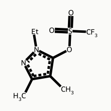 CCn1nc(C)c(C)c1OS(=O)(=O)C(F)(F)F